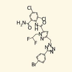 NC(=O)c1cc(Cl)cc(Cl)c1NC(=O)c1cc(Cn2nnc(-c3ccc(Br)cc3)n2)nn1CC(F)F